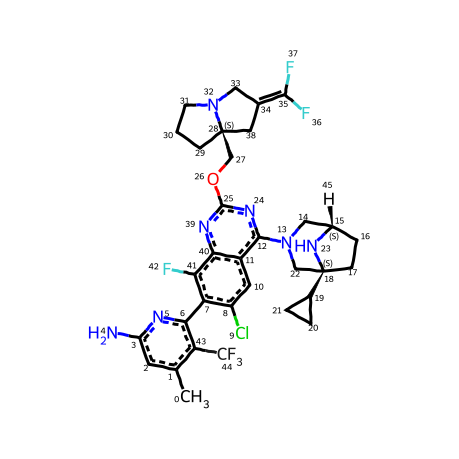 Cc1cc(N)nc(-c2c(Cl)cc3c(N4C[C@@H]5CC[C@](C6CC6)(C4)N5)nc(OC[C@@]45CCCN4CC(=C(F)F)C5)nc3c2F)c1C(F)(F)F